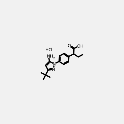 CCC(C(=O)O)c1ccc(-n2nc(C(C)(C)C)cc2N)cc1.Cl